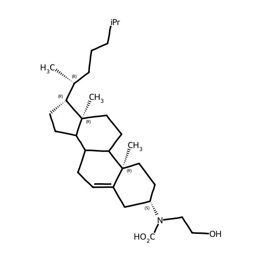 CC(C)CCC[C@@H](C)[C@H]1CCC2C3CC=C4C[C@@H](N(CCO)C(=O)O)CC[C@]4(C)C3CC[C@@]21C